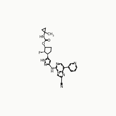 CC1(NC(=O)O[C@H]2CC[C@@H](c3cc(Nc4ncc(-c5cccnc5)c5nc(C#N)cn45)n[nH]3)[C@H]2F)CC1